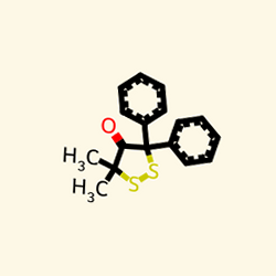 CC1(C)SSC(c2ccccc2)(c2ccccc2)C1=O